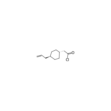 C=CC[C@H]1CC[C@H](CC(=O)Cl)CC1